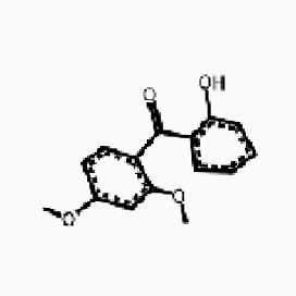 COc1ccc(C(=O)c2ccccc2O)c(OC)c1